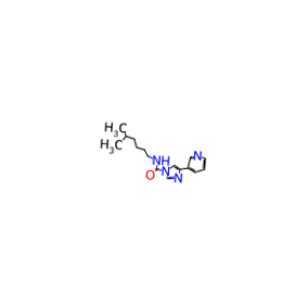 CC(C)CCCCNC(=O)n1cnc(-c2cccnc2)c1